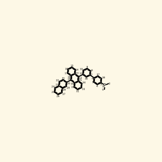 CP(C)c1ccc(-c2cccc(-c3c4ccccc4c(-c4ccc5ccccc5c4)c4ccccc34)c2)cc1